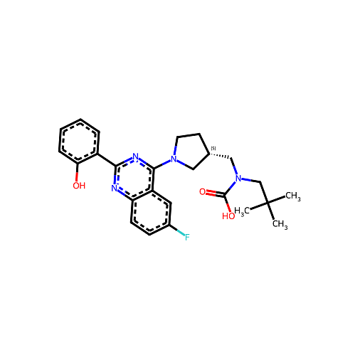 CC(C)(C)CN(C[C@H]1CCN(c2nc(-c3ccccc3O)nc3ccc(F)cc23)C1)C(=O)O